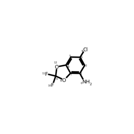 Nc1cc(Cl)cc2c1OC(F)(F)O2